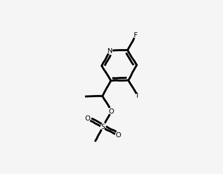 CC(OS(C)(=O)=O)c1cnc(F)cc1I